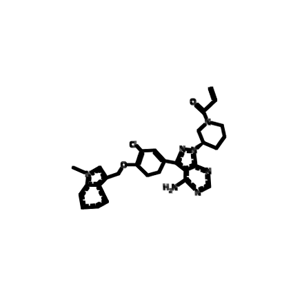 C=CC(=O)N1CCC[C@@H](n2nc(C3=CC(Cl)=C(OCc4cn(C)c5ccccc45)CC3)c3c(N)ncnc32)C1